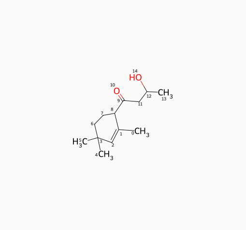 CC1=CC(C)(C)CCC1C(=O)CC(C)O